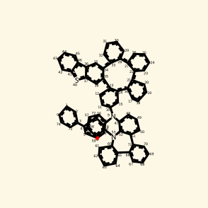 c1ccc(-c2cccc(N(c3ccc4c(c3)c3ccccc3c3ccccc3c3ccccc3c3cc5c(cc43)sc3ccccc35)c3cccc4c3N(c3ccccc3)c3ccccc3-c3ccccc3-4)c2)cc1